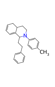 Cc1ccc(N2CCC3CC=CC=C3C2CCc2ccccc2)cc1